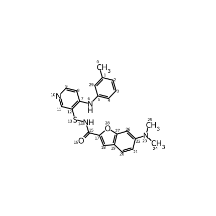 Cc1cccc(Nc2ccncc2SNC(=O)c2cc3ccc(N(C)C)cc3o2)c1